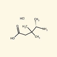 C[C@H](N)C(C)(C)CC(=O)O.Cl